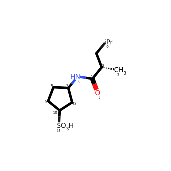 CC(C)C[C@H](C)C(=O)NC1CCC(S(=O)(=O)O)C1